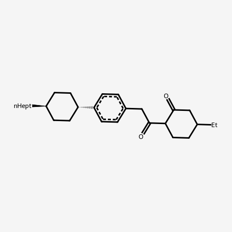 CCCCCCC[C@H]1CC[C@H](c2ccc(CC(=O)C3CCC(CC)CC3=O)cc2)CC1